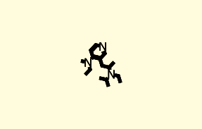 CCN(C)c1ccncc1CC(C)N(CC)C(C)C